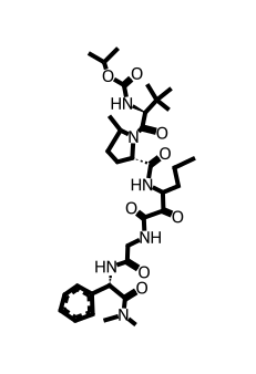 CCCC(NC(=O)[C@@H]1CCC(C)N1C(=O)[C@@H](NC(=O)OC(C)C)C(C)(C)C)C(=O)C(=O)NCC(=O)N[C@H](C(=O)N(C)C)c1ccccc1